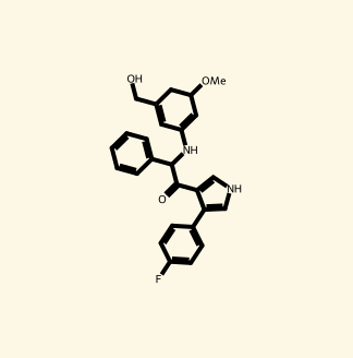 COC1C=C(NC(C(=O)c2c[nH]cc2-c2ccc(F)cc2)c2ccccc2)C=C(CO)C1